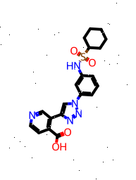 O=C(O)c1ccncc1-c1cn(-c2cccc(NS(=O)(=O)C3CCCCC3)c2)nn1